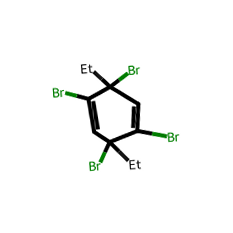 CCC1(Br)C=C(Br)C(Br)(CC)C=C1Br